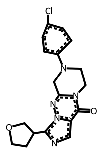 O=c1c2cnc(C3CCOC3)n2nc2n1CCN(c1ccc(Cl)cc1)C2